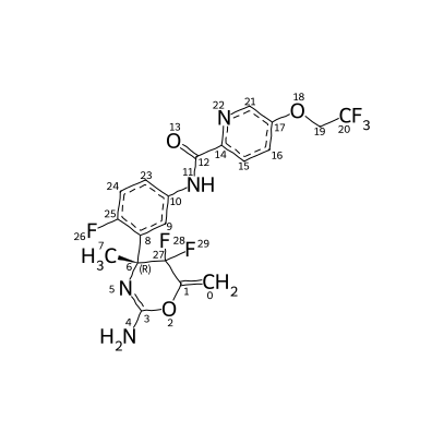 C=C1OC(N)=N[C@](C)(c2cc(NC(=O)c3ccc(OCC(F)(F)F)cn3)ccc2F)C1(F)F